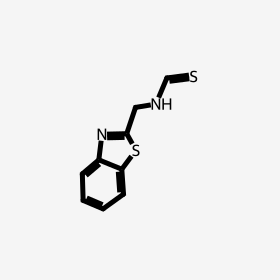 S=CNCc1nc2ccccc2s1